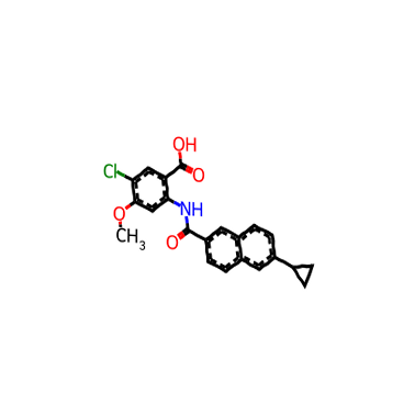 COc1cc(NC(=O)c2ccc3cc(C4CC4)ccc3c2)c(C(=O)O)cc1Cl